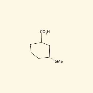 CS[C@@H]1CCCC(C(=O)O)C1